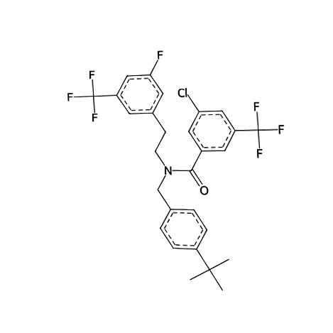 CC(C)(C)c1ccc(CN(CCc2cc(F)cc(C(F)(F)F)c2)C(=O)c2cc(Cl)cc(C(F)(F)F)c2)cc1